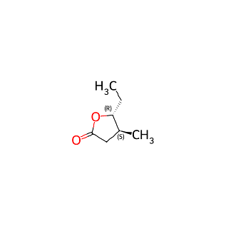 CC[C@H]1OC(=O)C[C@@H]1C